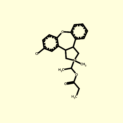 CCC(=O)OC(C)[N+]1(C)CC2c3ccccc3Oc3ccc(Cl)cc3C2C1